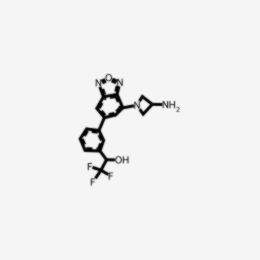 NC1CN(c2cc(-c3cccc(C(O)C(F)(F)F)c3)cc3nonc23)C1